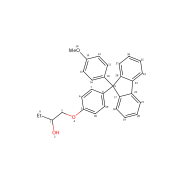 CCC(O)COc1ccc(C2(c3ccc(OC)cc3)c3ccccc3-c3ccccc32)cc1